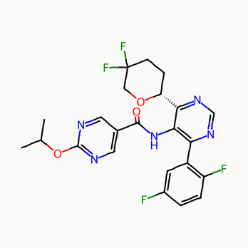 CC(C)Oc1ncc(C(=O)Nc2c(-c3cc(F)ccc3F)ncnc2[C@H]2CCC(F)(F)CO2)cn1